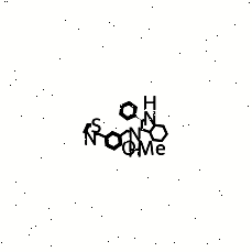 COc1ccc(-c2nccs2)cc1CN[C@H]1C2CCCCC2N[C@H]1c1ccccc1